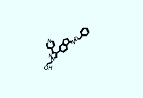 OCCn1cc(-c2ccc3c(c2)CCC3=NOCc2ccccc2)c(-c2ccncc2)n1